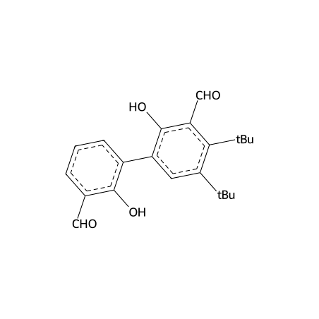 CC(C)(C)c1cc(-c2cccc(C=O)c2O)c(O)c(C=O)c1C(C)(C)C